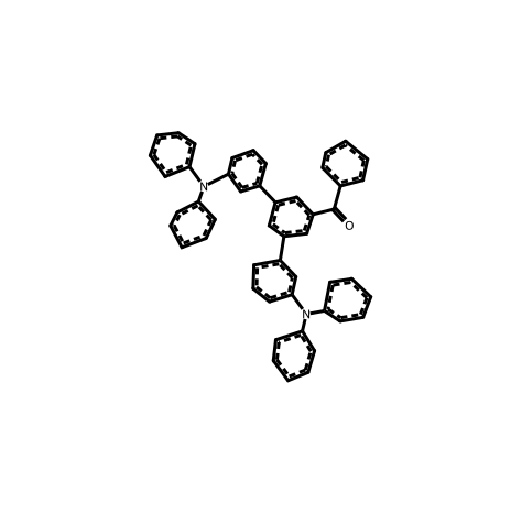 O=C(c1ccccc1)c1cc(-c2cccc(N(c3ccccc3)c3ccccc3)c2)cc(-c2cccc(N(c3ccccc3)c3ccccc3)c2)c1